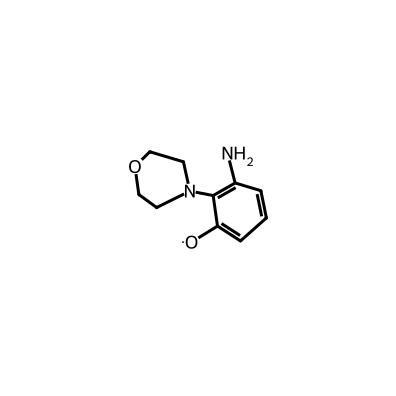 Nc1cccc([O])c1N1CCOCC1